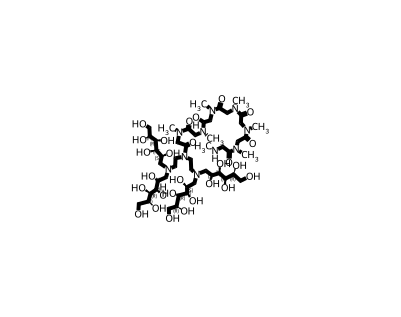 CNCC(=O)N(C)CC(=O)N(C)CC(=O)N(C)CC(=O)N(C)CC(O)N(C)CC(=O)N(C)CC(=O)N(CCN(C[C@H](O)[C@@H](O)[C@H](O)[C@H](O)CO)C[C@H](O)[C@@H](O)[C@H](O)[C@H](O)CO)CCN(C[C@H](O)[C@@H](O)[C@H](O)[C@H](O)CO)C[C@H](O)[C@@H](O)[C@H](O)[C@H](O)CO